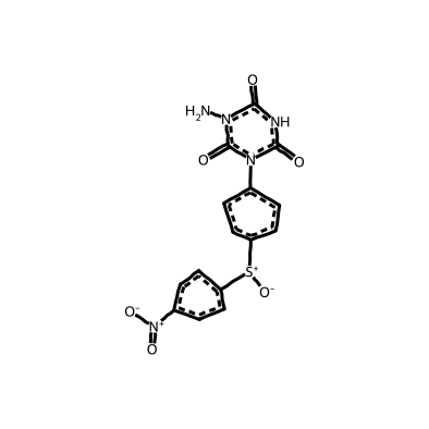 Nn1c(=O)[nH]c(=O)n(-c2ccc([S+]([O-])c3ccc([N+](=O)[O-])cc3)cc2)c1=O